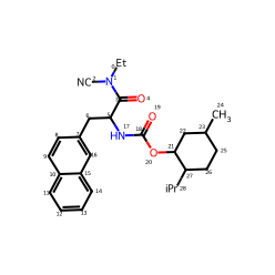 CCN(C#N)C(=O)C(Cc1ccc2ccccc2c1)NC(=O)OC1CC(C)CCC1C(C)C